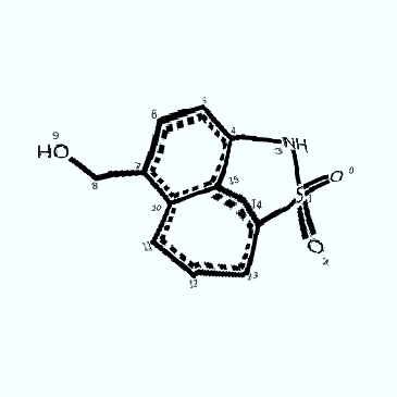 O=S1(=O)Nc2ccc(CO)c3cccc1c23